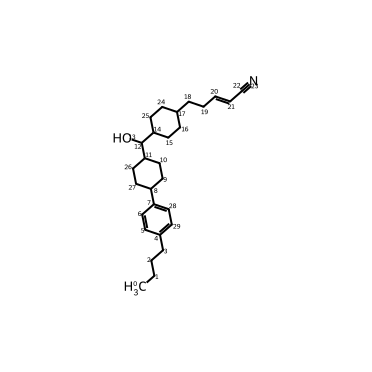 CCCCc1ccc(C2CCC(C(O)C3CCC(CCC=CC#N)CC3)CC2)cc1